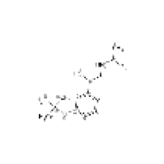 CC(F)NCC(O)c1cccc(OC(C)(C)C)c1